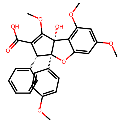 COC1=C(C(=O)O)[C@@H](c2ccccc2)[C@]2(c3ccc(OC)cc3)Oc3cc(OC)cc(OC)c3[C@]12O